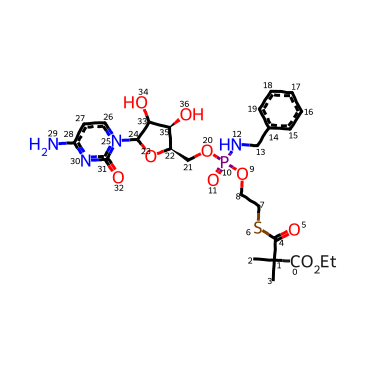 CCOC(=O)C(C)(C)C(=O)SCCOP(=O)(NCc1ccccc1)OC[C@H]1OC(n2ccc(N)nc2=O)C(O)[C@H]1O